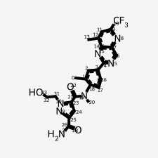 Cc1cc(-c2ncc3nc(C(F)(F)F)cc(C)c3n2)ccc1N(C)C(=O)c1cc(C(N)=O)nn1CCO